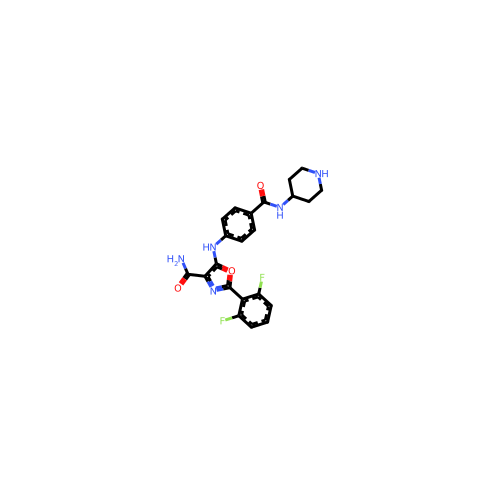 NC(=O)c1nc(-c2c(F)cccc2F)oc1Nc1ccc(C(=O)NC2CCNCC2)cc1